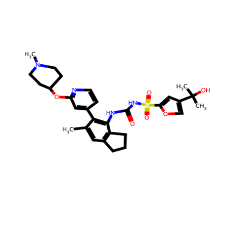 Cc1cc2c(c(NC(=O)NS(=O)(=O)c3cc(C(C)(C)O)co3)c1-c1ccnc(OC3CCN(C)CC3)c1)CCC2